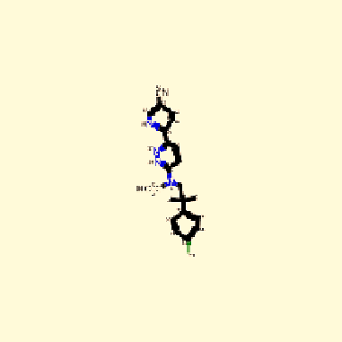 CC(C)(CN(C(=O)O)c1ccc(-c2ccc(C#N)cn2)nn1)c1ccc(F)cc1